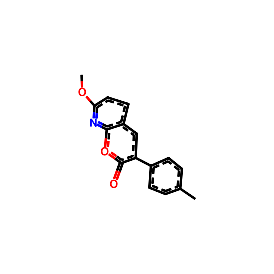 COc1ccc2cc(-c3ccc(C)cc3)c(=O)oc2n1